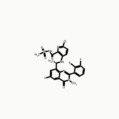 C[C@@H](Nc1ccc(Cl)nc1C(=O)NS(C)(=O)=O)c1cc(F)cc2c(=O)n(C)c(-c3cccc(F)c3F)nc12